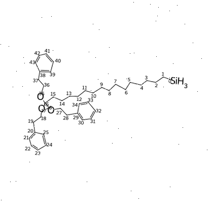 [SiH3]CCCCCCCCCCCCCCCC(OCCc1ccccc1)(OCCc1ccccc1)OCCc1ccccc1